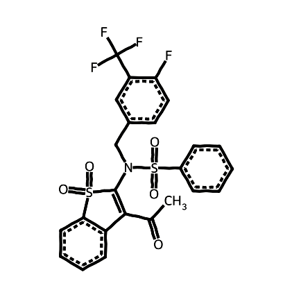 CC(=O)C1=C(N(Cc2ccc(F)c(C(F)(F)F)c2)S(=O)(=O)c2ccccc2)S(=O)(=O)c2ccccc21